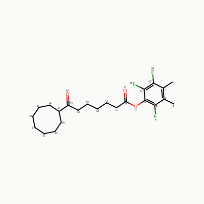 Cc1c(C)c(F)c(OC(=O)CCCCCC(=O)C2CCCCCCC2)c(F)c1F